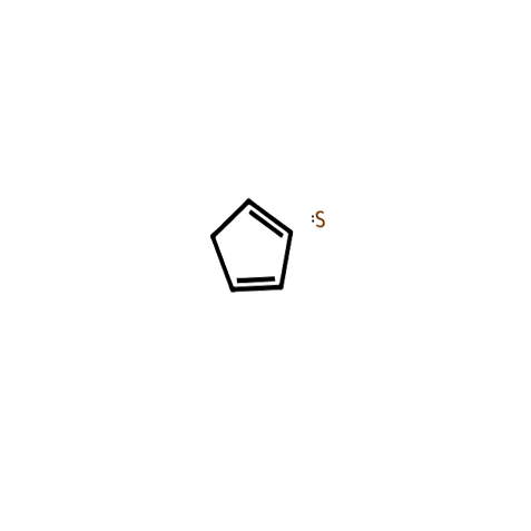 C1=CCC=C1.[S]